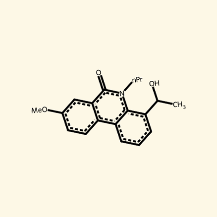 CCCn1c(=O)c2cc(OC)ccc2c2cccc(C(C)O)c21